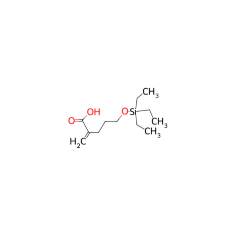 C=C(CCCO[Si](CC)(CC)CC)C(=O)O